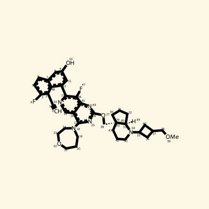 C#Cc1c(F)ccc2cc(O)cc(-c3ncc4c(N5CCCOCC5)nc(OC[C@]56CCC[C@H]5N(C5CC(COC)C5)CCC6)nc4c3F)c12